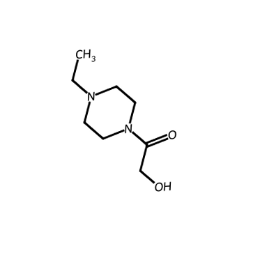 CCN1CCN(C(=O)CO)CC1